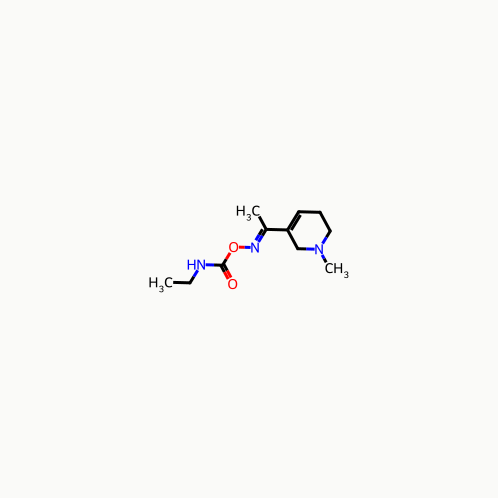 CCNC(=O)ON=C(C)C1=CCCN(C)C1